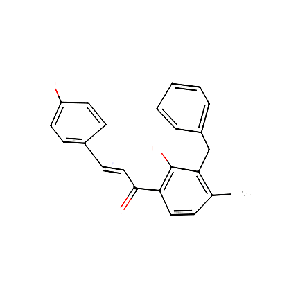 COc1ccc(C(=O)/C=C/c2ccc(O)cc2)c(O)c1Cc1ccccc1